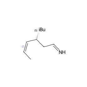 C/C=C\C(CC=N)[C@@H](C)CC